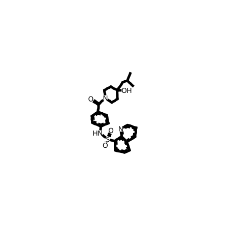 CC(C)CC1(O)CCN(C(=O)c2ccc(NS(=O)(=O)c3cccc4cccnc34)cc2)CC1